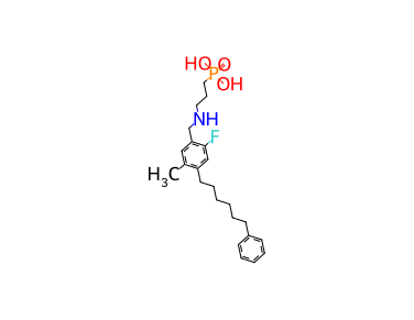 Cc1cc(CNCCCP(=O)(O)O)c(F)cc1CCCCCCc1ccccc1